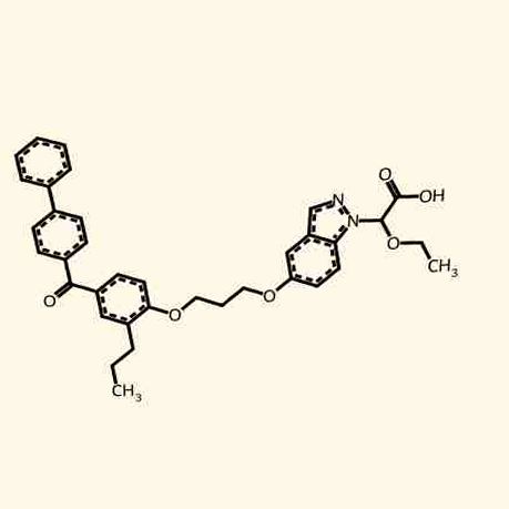 CCCc1cc(C(=O)c2ccc(-c3ccccc3)cc2)ccc1OCCCOc1ccc2c(cnn2C(OCC)C(=O)O)c1